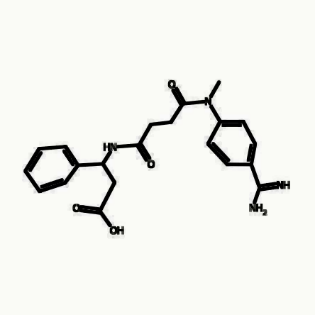 CN(C(=O)CCC(=O)NC(CC(=O)O)c1ccccc1)c1ccc(C(=N)N)cc1